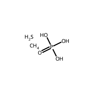 C.O=P(O)(O)O.S